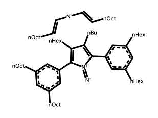 CCCCCCCCC=[CH][Ni][CH]=CCCCCCCCC.CCCCCCCCc1cc(CCCCCCCC)cc(C2=C(CCCCCC)C(CCCC)=C(c3cc(CCCCCC)cc(CCCCCC)c3)[N+]2=[N-])c1